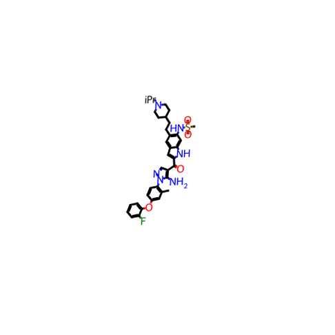 Cc1cc(Oc2ccccc2F)ccc1-n1ncc(C(=O)c2cc3cc(CCC4CCN(C(C)C)CC4)c(NS(C)(=O)=O)cc3[nH]2)c1N